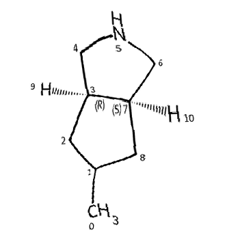 CC1C[C@H]2CNC[C@H]2C1